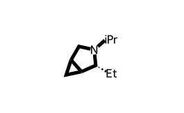 CC[C@@H]1C2CC2CN1C(C)C